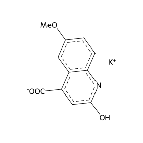 COc1ccc2nc(O)cc(C(=O)[O-])c2c1.[K+]